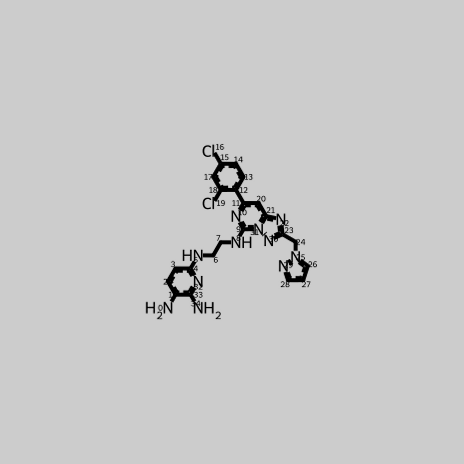 Nc1ccc(NCCNc2nc(-c3ccc(Cl)cc3Cl)cc3nc(Cn4cccn4)nn23)nc1N